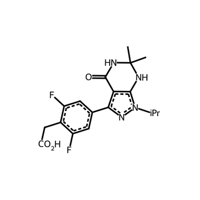 CC(C)n1nc(-c2cc(F)c(CC(=O)O)c(F)c2)c2c1NC(C)(C)NC2=O